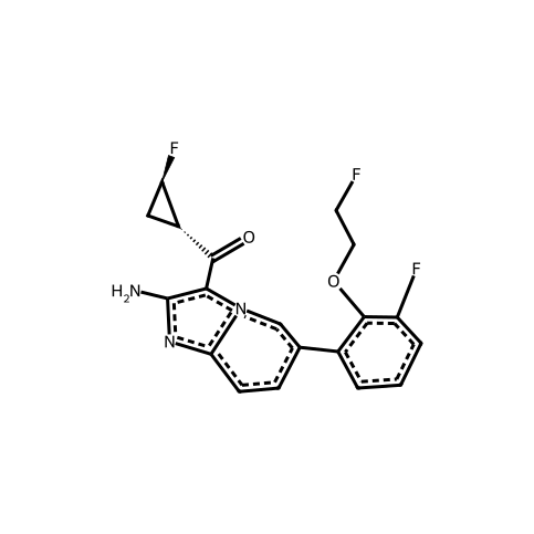 Nc1nc2ccc(-c3cccc(F)c3OCCF)cn2c1C(=O)[C@@H]1C[C@H]1F